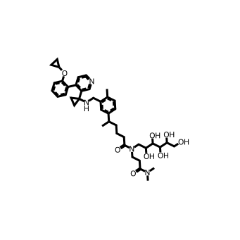 Cc1ccc(C(C)CCCC(=O)N(CCC(=O)N(C)C)CC(O)C(O)C(O)C(O)CO)cc1CNC1(c2cnccc2-c2ccccc2OC2CC2)CC1